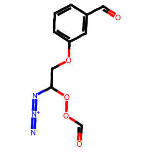 [N-]=[N+]=NC(COc1cccc(C=O)c1)OOC=O